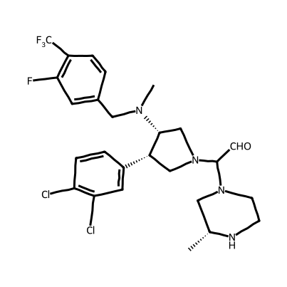 C[C@@H]1CN(C(C=O)N2C[C@H](c3ccc(Cl)c(Cl)c3)[C@H](N(C)Cc3ccc(C(F)(F)F)c(F)c3)C2)CCN1